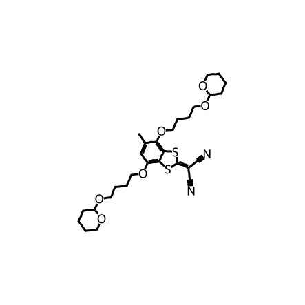 Cc1cc(OCCCCOC2CCCCO2)c2c(c1OCCCCOC1CCCCO1)SC(=C(C#N)C#N)S2